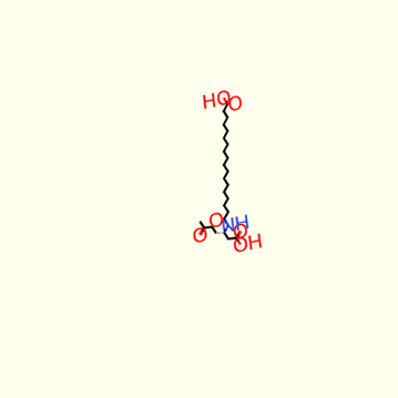 CC(=O)CC[C@@H](CC(=O)O)NC(=O)CCCCCCCCCCCCCCCCC(=O)O